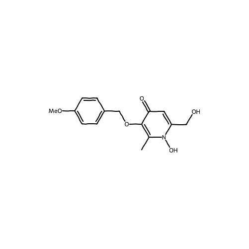 COc1ccc(COc2c(C)n(O)c(CO)cc2=O)cc1